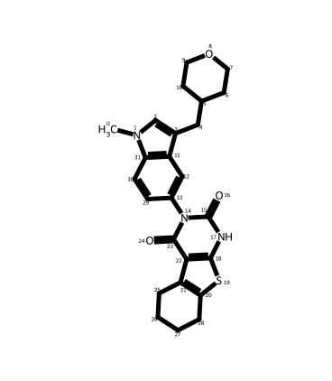 Cn1cc(CC2CCOCC2)c2cc(-n3c(=O)[nH]c4sc5c(c4c3=O)CCCC5)ccc21